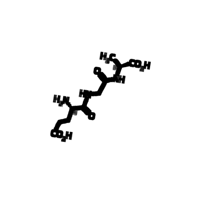 C[C@H](NC(=O)CNC(=O)[C@@H](N)CCC(=O)O)C(=O)O